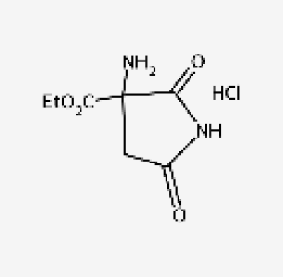 CCOC(=O)C1(N)CC(=O)NC1=O.Cl